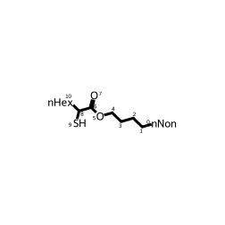 CCCCCCCCCCCCCOC(=O)C(S)CCCCCC